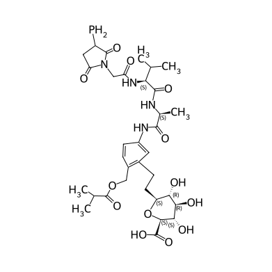 CC(C)C(=O)OCc1ccc(NC(=O)[C@H](C)NC(=O)[C@@H](NC(=O)CN2C(=O)CC(P)C2=O)C(C)C)cc1CC[C@@H]1O[C@H](C(=O)O)[C@@H](O)[C@H](O)[C@H]1O